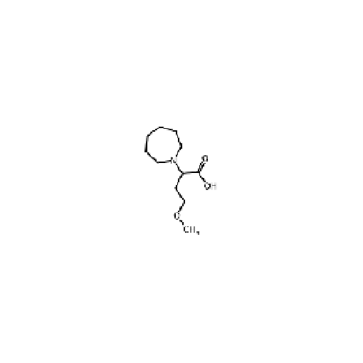 COCCC(C(=O)O)N1CCCCCC1